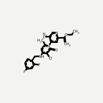 C=C(OCC)c1cc(-n2c(C)cc(NCc3ccc(F)cc3F)c(Cl)c2=O)c(C)cn1